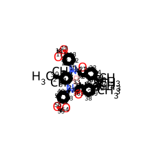 CC(C)(C)c1cc2c3c(c1)N(c1ccc4c(c1)OCO4)c1oc4ccc(C(C)(C)C)cc4c1B3c1c(oc3ccc(C(C)(C)C)cc13)N2c1ccc2c(c1)OCO2